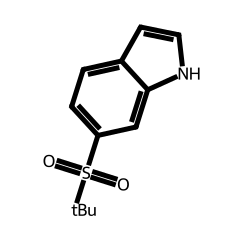 CC(C)(C)S(=O)(=O)c1ccc2cc[nH]c2c1